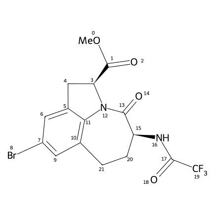 COC(=O)[C@@H]1Cc2cc(Br)cc3c2N1C(=O)[C@@H](NC(=O)C(F)(F)F)CC3